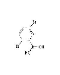 CCc1ccc(Br)cc1B(O)O